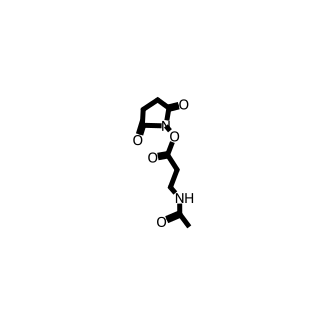 CC(=O)NCCC(=O)ON1C(=O)CCC1=O